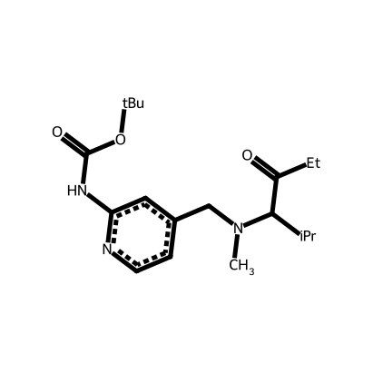 CCC(=O)C(C(C)C)N(C)Cc1ccnc(NC(=O)OC(C)(C)C)c1